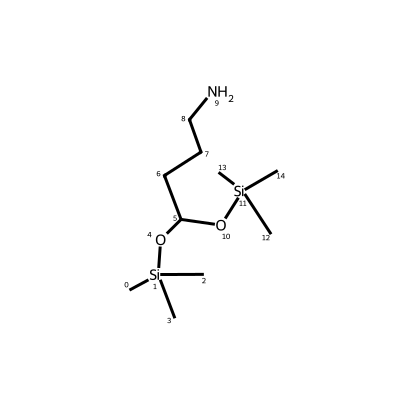 C[Si](C)(C)OC(CCCN)O[Si](C)(C)C